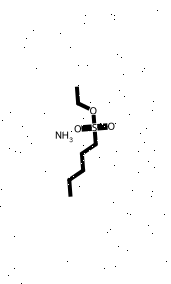 CCCCCS(=O)(=O)OCC.N